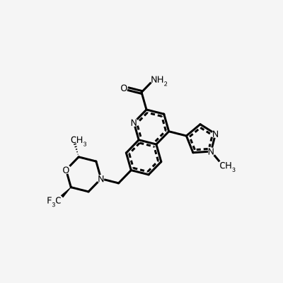 C[C@@H]1CN(Cc2ccc3c(-c4cnn(C)c4)cc(C(N)=O)nc3c2)C[C@@H](C(F)(F)F)O1